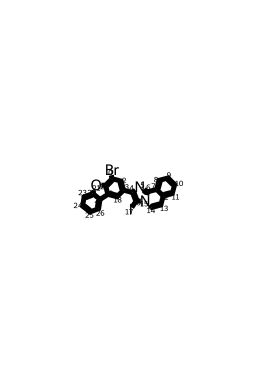 Brc1cc(-c2nc3c4ccccc4ccn3c2I)cc2c1oc1ccccc12